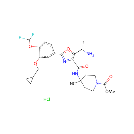 COC(=O)N1CCC(C#N)(NC(=O)c2nc(-c3ccc(OC(F)F)c(OCC4CC4)c3)oc2[C@H](C)N)CC1.Cl